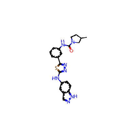 CC1CCN(C(=O)Nc2cccc(-c3nnc(Nc4ccc5[nH]ncc5c4)s3)c2)C1